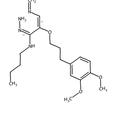 C=N/C=C(OCCCc1ccc(OC)c(OC)c1)\C(=N/N)NCCCC